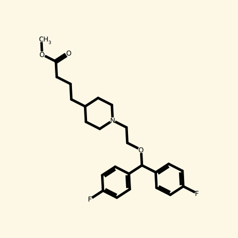 COC(=O)CCCC1CCN(CCOC(c2ccc(F)cc2)c2ccc(F)cc2)CC1